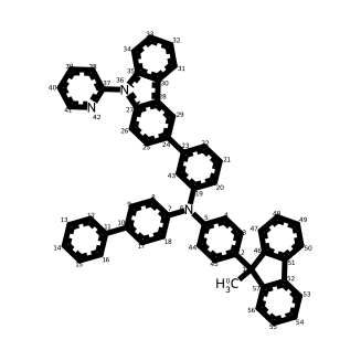 CC1(c2ccc(N(c3ccc(-c4ccccc4)cc3)c3cccc(-c4ccc5c(c4)c4ccccc4n5-c4ccccn4)c3)cc2)c2ccccc2-c2ccccc21